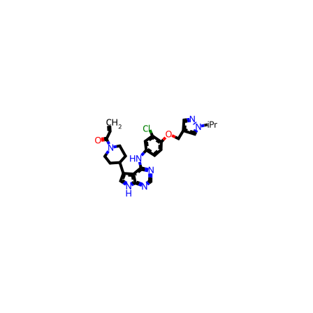 C=CC(=O)N1CCC(c2c[nH]c3ncnc(Nc4ccc(OCc5cnn(C(C)C)c5)c(Cl)c4)c23)CC1